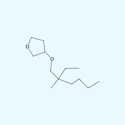 CCCCC(C)(CC)COC1CCOC1